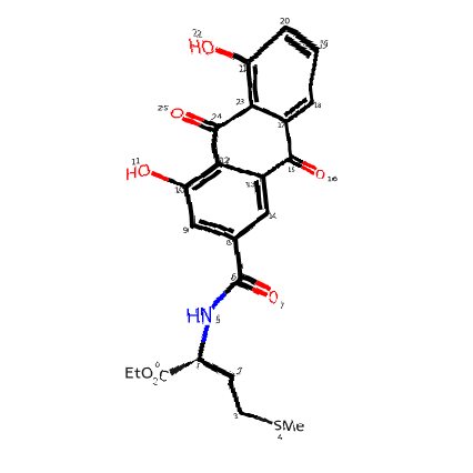 CCOC(=O)[C@H](CCSC)NC(=O)c1cc(O)c2c(c1)C(=O)c1cccc(O)c1C2=O